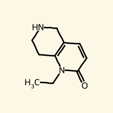 CCn1c2c(ccc1=O)CNCC2